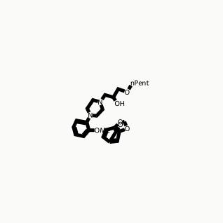 CCCCCOCC(O)CN1CCN(c2ccccc2OC)CC1.c1cc2c3cc1OC(O2)O3